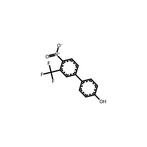 O=[N+]([O-])c1ccc(-c2ccc(O)cc2)cc1C(F)(F)F